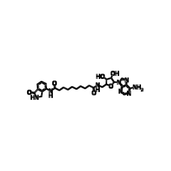 Nc1ncnc2c1ncn2C1OC(CNC(=O)CCCCCCCCC(=O)Nc2cccc3c2CNC3=O)C(O)C1O